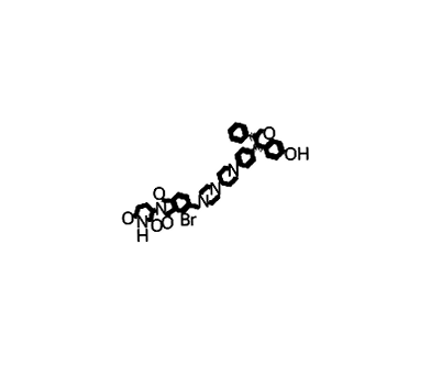 O=C1CCC(N2C(=O)c3ccc(CN4CCN(C5CCN(c6ccc([C@@H]7c8ccc(O)cc8OC[C@@H]7c7ccccc7)cc6)CC5)CC4)c(Br)c3C2=O)C(=O)N1